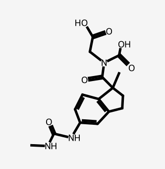 CNC(=O)Nc1ccc2c(c1)CCC2(C)C(=O)N(CC(=O)O)C(=O)O